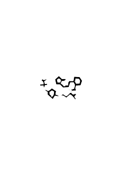 Cc1oc(-c2ccccc2-c2ccc3cccc-3o2)nc1CCOc1ccc(OC(C)(C)C(=O)O)cc1